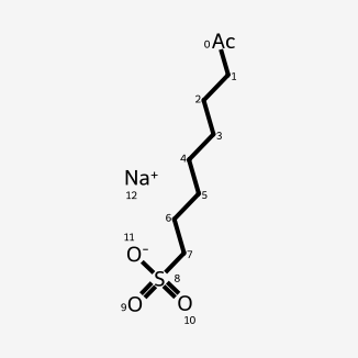 CC(=O)CCCCCCCS(=O)(=O)[O-].[Na+]